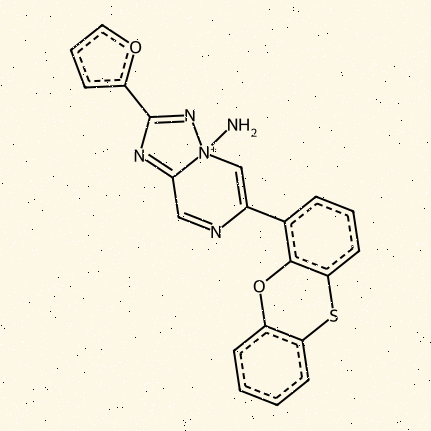 N[N+]12C=C(c3cccc4c3Oc3ccccc3S4)N=CC1=NC(c1ccco1)=N2